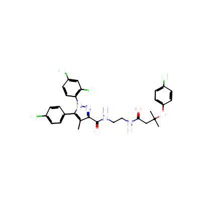 Cc1c(C(=O)NCCNC(=O)CC(C)(C)Oc2ccc(Cl)cc2)nn(-c2ccc(Cl)cc2Cl)c1-c1ccc(Cl)cc1